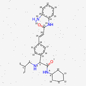 CC(C)CNC(C(=O)NC1CCCCC1)c1ccc(C=CC(=O)Nc2ccccc2N)cc1